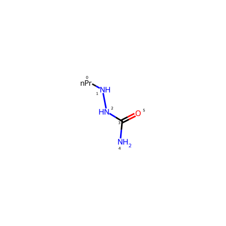 CCCNNC(N)=O